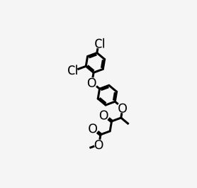 COC(=O)CC(=O)C(C)Oc1ccc(Oc2ccc(Cl)cc2Cl)cc1